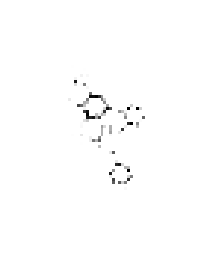 CCN(Cc1ccccc1-c1cc(Cl)c(C(F)(F)F)c(CC(=O)OC)c1)C(=O)OCc1ccc(Cl)cc1